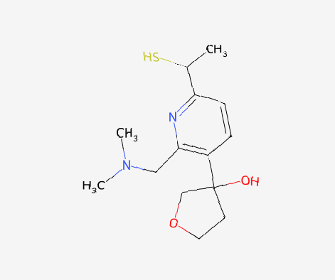 CC(S)c1ccc(C2(O)CCOC2)c(CN(C)C)n1